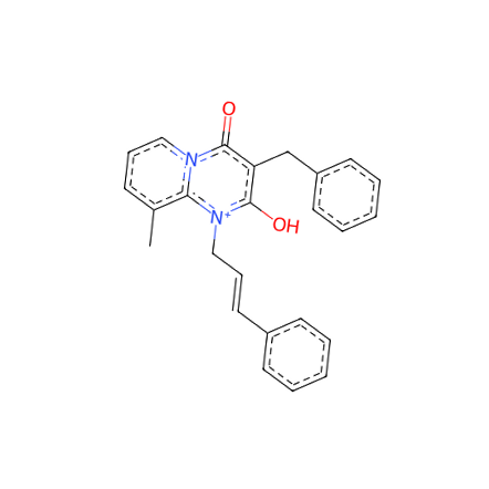 Cc1cccn2c(=O)c(Cc3ccccc3)c(O)[n+](CC=Cc3ccccc3)c12